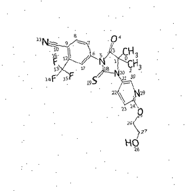 CC1(C)C(=O)N(c2ccc(C#N)c(C(F)(F)F)c2)C(=S)N1c1ccc(OCCO)nc1